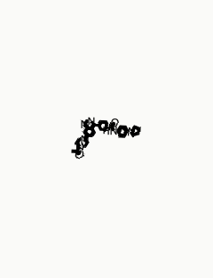 CC(=O)N1CCN(c2ccc3c(C4CCN(C(=O)Nc5ccc(N6CCCC6)cc5)CC4)ncnc3c2)CC1